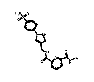 CC(C)NC(=O)c1cccc(C(=O)NCC2=CN(c3ccc(S(N)(=O)=O)cc3)NC2)n1